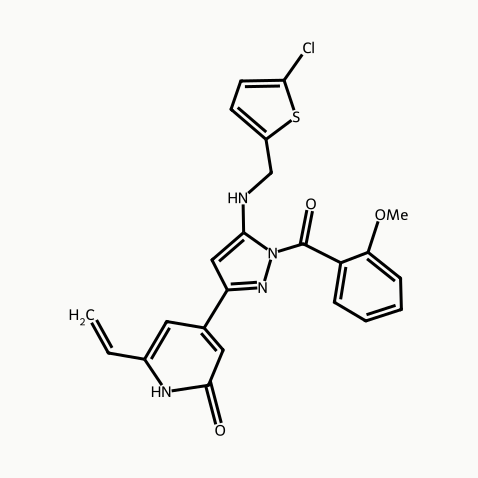 C=Cc1cc(-c2cc(NCc3ccc(Cl)s3)n(C(=O)c3ccccc3OC)n2)cc(=O)[nH]1